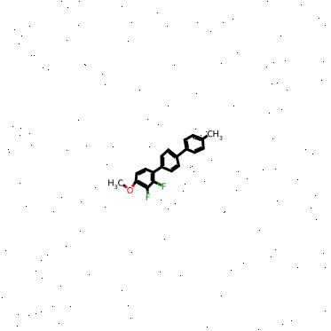 COc1ccc(-c2ccc(-c3ccc(C)cc3)cc2)c(F)c1F